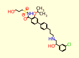 CC(C)Oc1cc(-c2ccc(CCCNC[C@H](O)c3cccc(Cl)c3)cc2)ccc1C(=O)NS(=O)(=O)CCCO